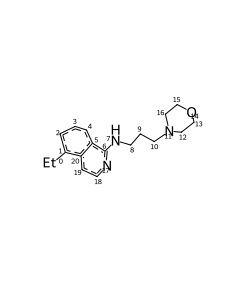 CCc1cccc2c(NCCCN3CCOCC3)nccc12